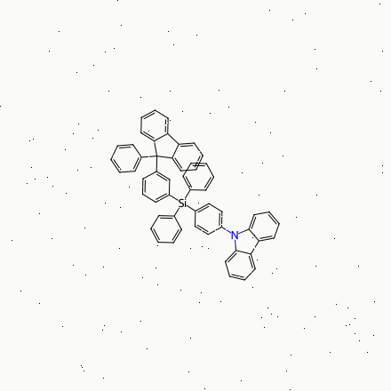 c1ccc(C2(c3cccc([Si](c4ccccc4)(c4ccccc4)c4ccc(-n5c6ccccc6c6ccccc65)cc4)c3)c3ccccc3-c3ccccc32)cc1